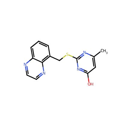 Cc1cc(O)nc(SCc2cccc3nccnc23)n1